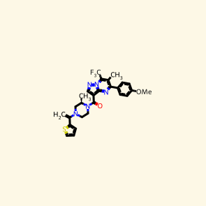 C=C(c1cccs1)N1CCN(C(=O)c2cnn3c(C(F)(F)F)c(C)c(-c4ccc(OC)cc4)nc23)[C@H](C)C1